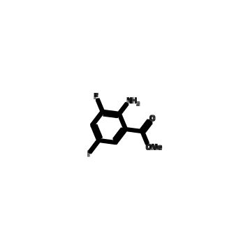 COC(=O)c1cc(I)cc(F)c1N